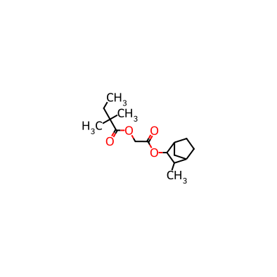 CCC(C)(C)C(=O)OCC(=O)OC1C2CCC(C2)C1C